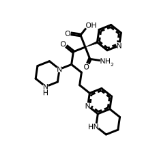 NC(=O)[C@@](C(=O)O)(C(=O)C(CCc1ccc2c(n1)NCCC2)N1CCCNC1)c1cccnc1